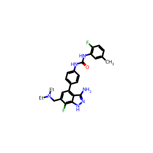 CCN(CC)Cc1cc(-c2ccc(NC(=O)Nc3cc(C)ccc3F)cc2)c2c(N)n[nH]c2c1F